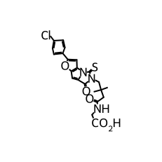 CC(C)(CC(=O)NCC(=O)O)CN1C(=O)c2cc3oc(-c4ccc(Cl)cc4)cc3n2C1=S